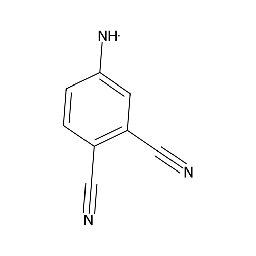 N#Cc1ccc([NH])cc1C#N